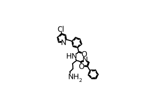 NCCCC(NC(=O)c1cccc(-c2cc(Cl)ccn2)c1)c1ncc(-c2ccccc2)o1